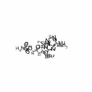 C[SiH](C)[C@@]1(n2cnc3c(N)ncnc32)O[C@H](COS(N)(=O)=O)C[C@H]1OC(C)(C)C